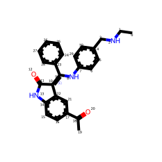 CCNCc1ccc(N/C(=C2/C(=O)Nc3ccc(C(C)=O)cc32)c2ccccc2)cc1